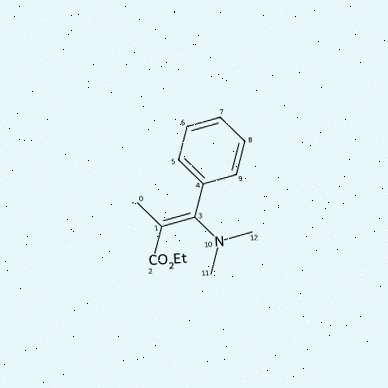 [CH2]C(C(=O)OCC)=C(c1ccccc1)N(C)C